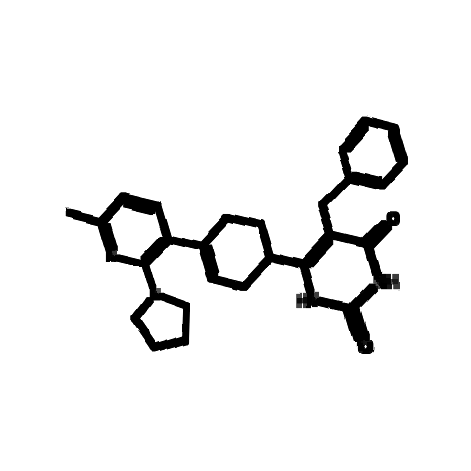 Cc1ccc(C2=CCC(c3[nH]c(=O)[nH]c(=O)c3Cc3ccccc3)CC2)c(N2CCCC2)n1